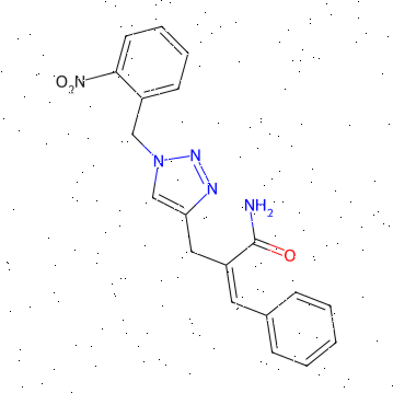 NC(=O)C(=Cc1ccccc1)Cc1cn(Cc2ccccc2[N+](=O)[O-])nn1